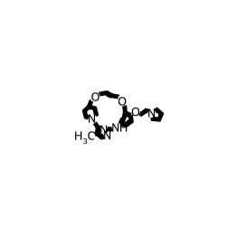 Cc1cnc2nc1N1CCC(CC1)COC/C=C/COCc1cc(ccc1OCCN1CCCC1)N2